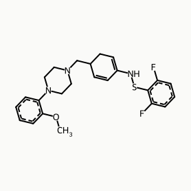 COc1ccccc1N1CCN(CC2C=CC(NSc3c(F)cccc3F)=CC2)CC1